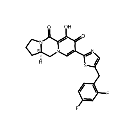 O=C1c2c(O)c(=O)c(-c3ncc(Cc4ccc(F)cc4F)s3)cn2C[C@H]2CCCN12